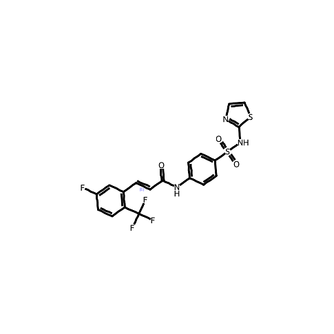 O=C(/C=C/c1cc(F)ccc1C(F)(F)F)Nc1ccc(S(=O)(=O)Nc2nccs2)cc1